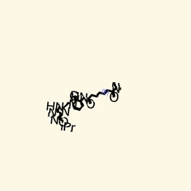 CC(C)Oc1ncnc2[nH]c(Cn3cccc(NC(=O)CCC/C=C/C(=O)N(C)C)c3=O)nc12